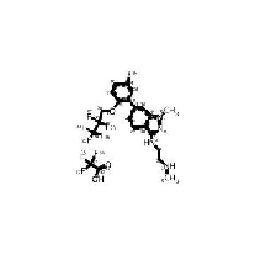 CNCCNc1nn(C)c2cc(-c3cc(F)ccc3OCC(F)(F)C(F)(F)F)ccc12.O=C(O)C(F)(F)F